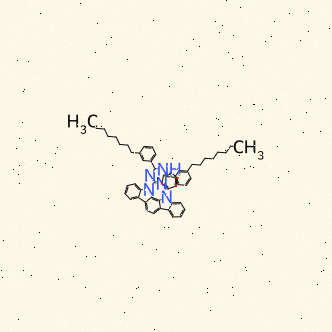 CCCCCCCCc1cccc(C2=NC(n3c4ccccc4c4ccc5c6ccccc6n(-c6ccccc6)c5c43)=NC(c3cccc(CCCCCCCC)c3)N2)c1